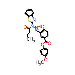 CCCC(=O)N(/N=C/c1cc(C(=O)Oc2ccc(OC)cc2)ccc1O)c1nc2ccccc2s1